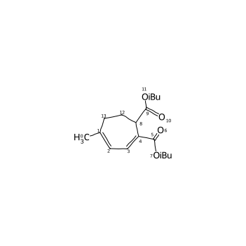 CC1=CC=C(C(=O)OCC(C)C)C(C(=O)OCC(C)C)CC1